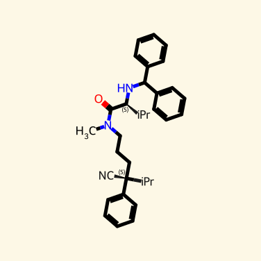 CC(C)[C@H](NC(c1ccccc1)c1ccccc1)C(=O)N(C)CCC[C@@](C#N)(c1ccccc1)C(C)C